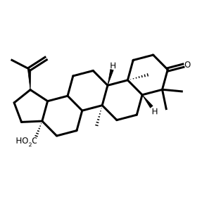 C=C(C)[C@@H]1CC[C@]2(C(=O)O)CCC3C(CC[C@@H]4[C@@]5(C)CCC(=O)C(C)(C)[C@@H]5CC[C@@]34C)C12